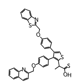 CC(C(O)=S)c1scc(-c2ccc(OCc3nc4ccccc4s3)cc2)c1-c1ccc(OCc2ccc3ccccc3n2)cc1